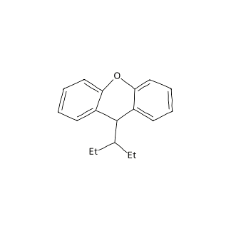 CCC(CC)C1c2ccccc2Oc2ccccc21